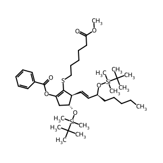 CCCCC[C@@H](/C=C/[C@@H]1C(SCCCCCC(=O)OC)=C(OC(=O)c2ccccc2)C[C@H]1O[Si](C)(C)C(C)(C)C)O[Si](C)(C)C(C)(C)C